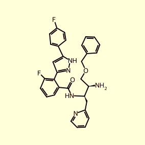 N[C@H](COCc1ccccc1)[C@@H](Cc1ccccn1)NC(=O)c1cccc(F)c1-c1cc(-c2ccc(F)cc2)[nH]n1